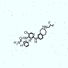 NC(=O)[C@@H]1[C@H](Nc2nc(Nc3ccc4c(c3)CCC(NCC(F)F)CC4)ncc2Cl)[C@H]2C=C[C@@H]1C2